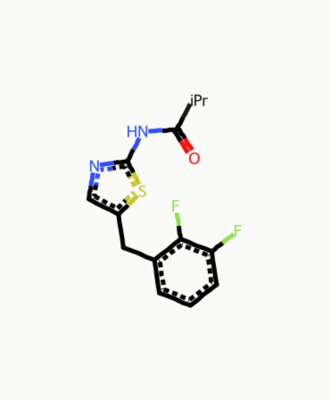 CC(C)C(=O)Nc1ncc(Cc2cccc(F)c2F)s1